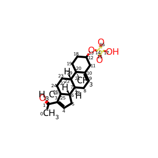 CC(=O)C1=CC[C@H]2[C@@H]3CC=C4CC(OS(=O)(=O)O)CC[C@]4(C)[C@H]3CC[C@]12C